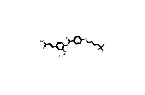 COc1cc(/C=C/C(=O)O)ccc1OC(=O)c1ccc(OCCCCC(F)(F)F)cc1